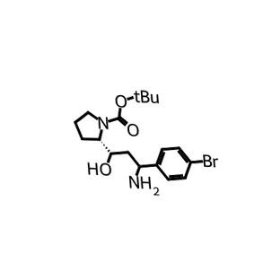 CC(C)(C)OC(=O)N1CCC[C@H]1C(O)CC(N)c1ccc(Br)cc1